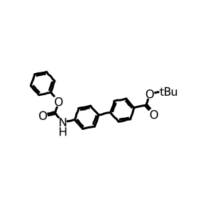 CC(C)(C)OC(=O)c1ccc(-c2ccc(NC(=O)Oc3ccccc3)cc2)cc1